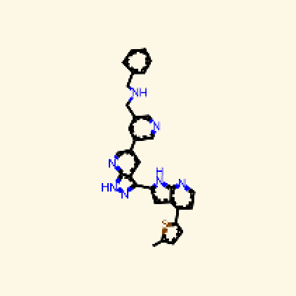 Cc1ccc(-c2ccnc3[nH]c(-c4n[nH]c5ncc(-c6cncc(CNCc7ccccc7)c6)cc45)cc23)s1